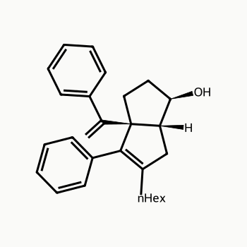 C=C(c1ccccc1)[C@@]12CC[C@@H](O)[C@@H]1CC(CCCCCC)=C2c1ccccc1